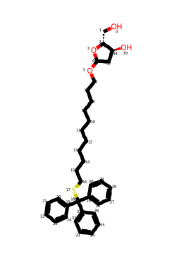 OC[C@H]1OC(OCCCCCCCCCCCSC(c2ccccc2)(c2ccccc2)c2ccccc2)C[C@@H]1O